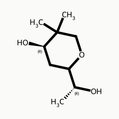 C[C@@H](O)C1C[C@@H](O)C(C)(C)CO1